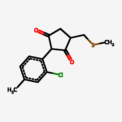 CSCC1CC(=O)C(c2ccc(C)cc2Cl)C1=O